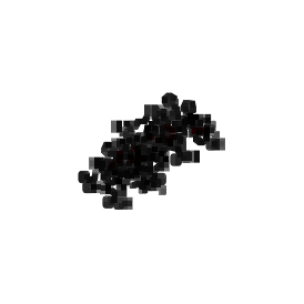 CSCC[C@H](NC(=O)[C@H](CCC(=O)O)NC(=O)[C@H](CCC(=O)O)NC(=O)[C@@H]1CCCN1C(=O)[C@H](CO)NC(=O)[C@H](C)NC(=O)[C@H](CC(=O)O)NC(=O)[C@H](CCC(=O)O)NC(=O)CNC(=O)[C@@H]1CCCN1C(=O)[C@H](CC(N)=O)NC(=O)[C@H](CCC(=O)O)NC(=O)[C@@H]1CCCN1C(=O)[C@H](CCCCN)NC(=O)[C@@H]1CCCN1C(=O)[C@@H]1CCCN1C(=O)[C@@H](N)Cc1ccc(O)cc1)C(=O)N[C@H](C(=O)N[C@@H](CCCCN)C(=O)O)[C@@H](C)O